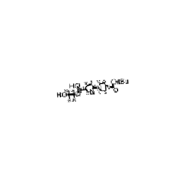 CC(C)(C)OC(=O)N1CCN(c2ccc(B(O)OC(C)(C)C(C)(C)O)cn2)CC1